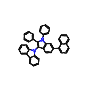 c1ccc(-c2c(-n3c4ccccc4c4ccccc43)c3ccc(-c4cccc5ccccc45)cc3n2-c2ccccc2)cc1